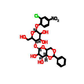 O=[N+]([O-])c1ccc(O[C@@H]2OC(CO)[C@@H](O[C@@H]3OC4COC(c5ccccc5)O[C@H]4[C@H](O)C3O)[C@H](O)C2O)c(Cl)c1